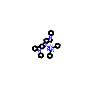 c1ccc(-c2nc(-c3ccccc3)nc(-n3c4cc5c(cc4c4ccc6c(ccn6-c6ccccc6)c43)c3ccccc3n5-c3ccccc3)n2)cc1